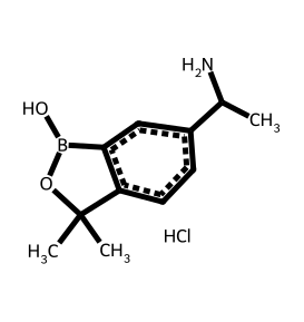 CC(N)c1ccc2c(c1)B(O)OC2(C)C.Cl